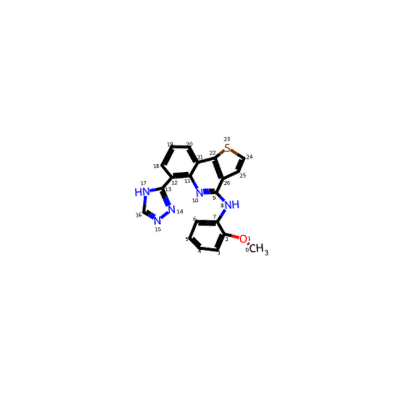 COc1ccccc1Nc1nc2c(-c3nnc[nH]3)cccc2c2sccc12